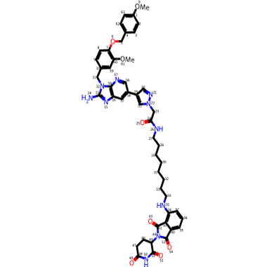 COc1ccc(COc2ccc(Cn3c(N)nc4cc(-c5cnn(CC(=O)NCCCCCCCCNc6cccc7c6C(=O)N(C6CCC(=O)NC6=O)C7=O)c5)cnc43)cc2OC)cc1